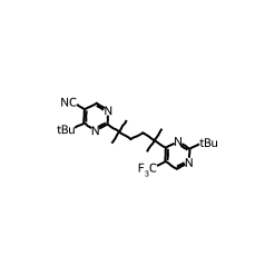 CC(C)(C)c1ncc(C(F)(F)F)c(C(C)(C)CCC(C)(C)c2ncc(C#N)c(C(C)(C)C)n2)n1